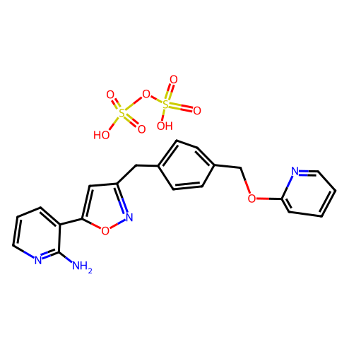 Nc1ncccc1-c1cc(Cc2ccc(COc3ccccn3)cc2)no1.O=S(=O)(O)OS(=O)(=O)O